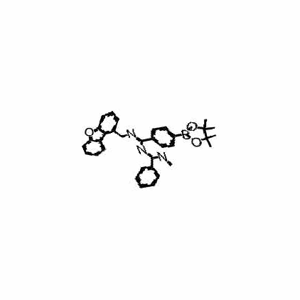 C=N/C(=N\C(=N/Cc1cccc2oc3ccccc3c12)c1ccc(B2OC(C)(C)C(C)(C)O2)cc1)c1ccccc1